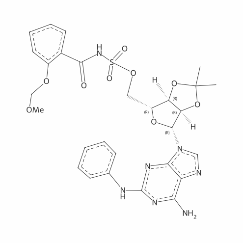 COCOc1ccccc1C(=O)NS(=O)(=O)OC[C@H]1O[C@@H](n2cnc3c(N)nc(Nc4ccccc4)nc32)[C@@H]2OC(C)(C)O[C@@H]21